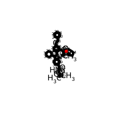 CN1CC2CCC(C1)N2C(=O)C1(C)Cc2cc(OCc3ccccc3)ccc2-c2c(C3CCCCC3)c3ccc(C(=O)NS(=O)(=O)N(C)C)cc3n2C1